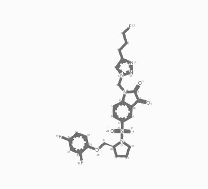 O=C1C(=O)N(Cn2cc(CCCF)nn2)c2ccc(S(=O)(=O)N3CCC[C@H]3COc3ccc(F)cc3F)cc21